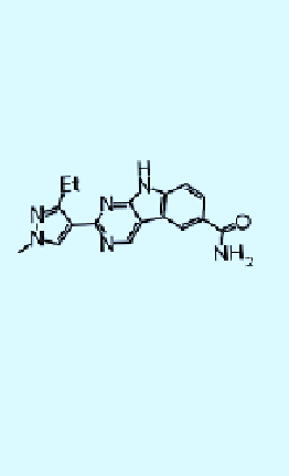 CCc1nn(C)cc1-c1ncc2c(n1)[nH]c1ccc(C(N)=O)cc12